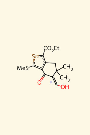 CCOC(=O)c1sc(SC)c2c1CC(C)(C)/C(=C\O)C2=O